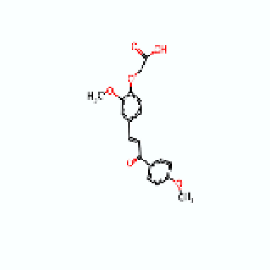 COc1ccc(C(=O)/C=C/c2ccc(OCC(=O)O)c(OC)c2)cc1